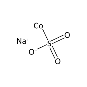 O=[S](=O)([O-])[Co].[Na+]